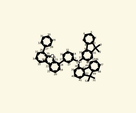 CC1(C)c2ccccc2-c2cc(N(c3cccc(-c4cccc5c4oc4c(-c6ccccc6)cccc45)c3)c3cccc4c3-c3ccccc3C4(C)C)ccc21